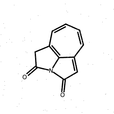 O=C1Cc2ccccc3cc(=O)n1c2-3